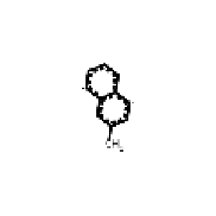 Cc1c[c]c2ccc[c]c2c1